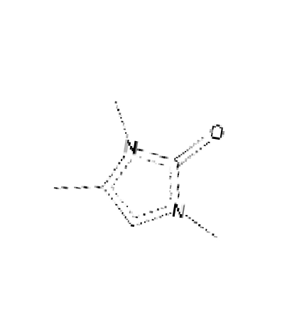 Cc1cn(C)c(=O)n1C